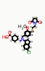 COc1cc(CN(C[C@H]2CC[C@H](C(=O)O)CC2)[C@H]2CCc3cc(Cl)ccc32)ccc1SCCN1C(=O)CCC1=O